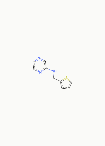 c1csc(CNc2cnccn2)c1